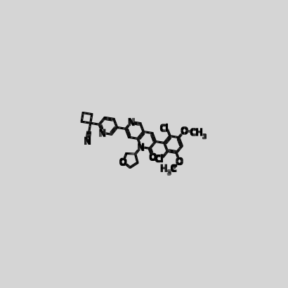 COc1cc(OC)c(Cl)c(-c2cc3cnc(-c4ccc(C5(C#N)CCC5)nc4)cc3n(C3CCOC3)c2=O)c1Cl